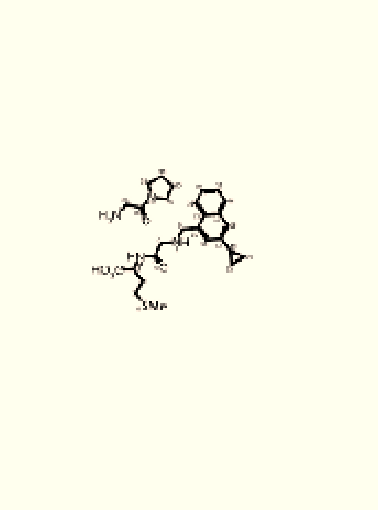 CSCCC(NC(=O)CNCc1cc(C2CC2)cc2ccccc12)C(=O)O.NCC(=O)N1CCCC1